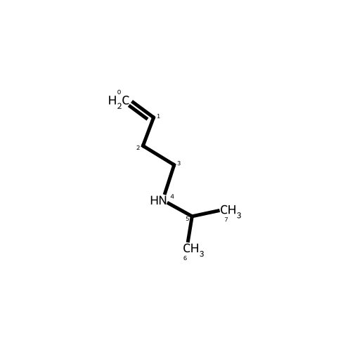 C=CCCNC(C)C